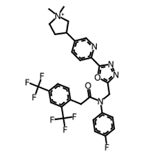 C[N+]1(C)CCC(c2ccc(-c3nnc(CN(C(=O)Cc4ccc(C(F)(F)F)cc4C(F)(F)F)c4ccc(F)cc4)o3)nc2)C1